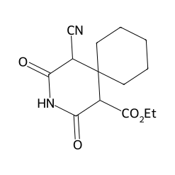 CCOC(=O)C1C(=O)NC(=O)C(C#N)C12CCCCC2